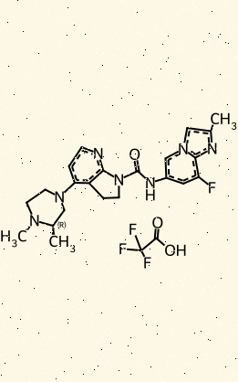 Cc1cn2cc(NC(=O)N3CCc4c(N5CCN(C)[C@H](C)C5)ccnc43)cc(F)c2n1.O=C(O)C(F)(F)F